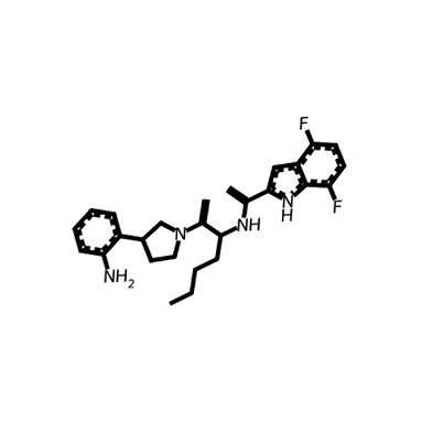 C=C(NC(CCCC)C(=C)N1CCC(c2ccccc2N)C1)c1cc2c(F)ccc(F)c2[nH]1